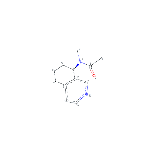 CC(=O)N(C)[C@@H]1CCCc2ccncc21